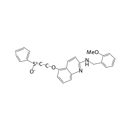 COc1ccccc1CNc1ccc2c(OCC[S+]([O-])c3ccccc3)cccc2n1